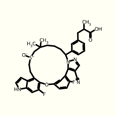 CC(Cc1cccc(C2CCCC(C)(C)C[S+]([O-])CCc3c(c(F)cc4[nH]ccc34)Oc3ccc(F)c(c3)-c3c(C#N)cnn32)c1)C(=O)O